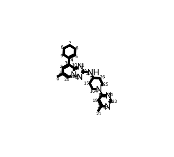 Cc1cc(C2=CCCCC2)c2nc(NC3CCN(c4cc(C)ncn4)CC3)nn2c1